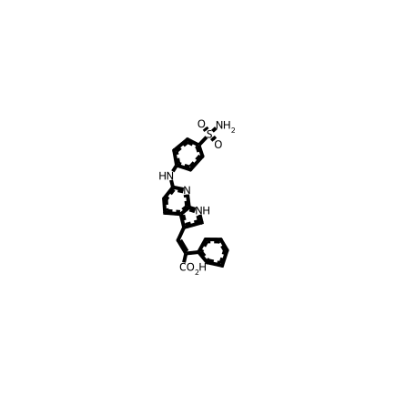 NS(=O)(=O)c1ccc(Nc2ccc3c(C=C(C(=O)O)c4ccccc4)c[nH]c3n2)cc1